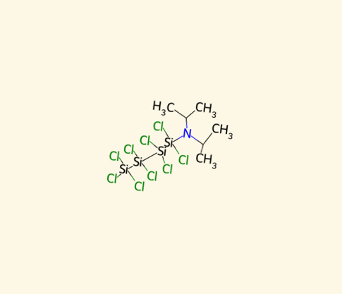 CC(C)N(C(C)C)[Si](Cl)(Cl)[Si](Cl)(Cl)[Si](Cl)(Cl)[Si](Cl)(Cl)Cl